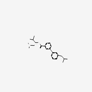 CC(C)Cc1cccc(-c2cccc(C(=O)N[C@@H](CN(C)C)C(C)C)c2)c1